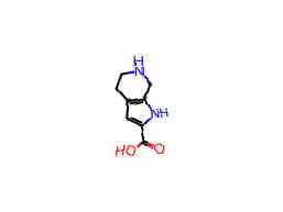 O=C(O)c1cc2c([nH]1)CNCC2